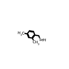 Cc1ccc(C[SeH])c(C)c1